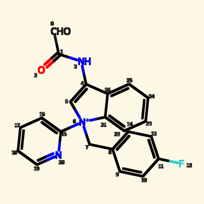 O=CC(=O)NC1=C[N+](Cc2ccc(F)cc2)(c2ccccn2)c2ccccc21